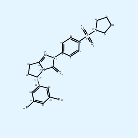 O=c1n(-c2ccc(S(=O)(=O)N3CCCC3)cc2)nc2n1[C@H](c1cc(F)cc(F)c1)CC2